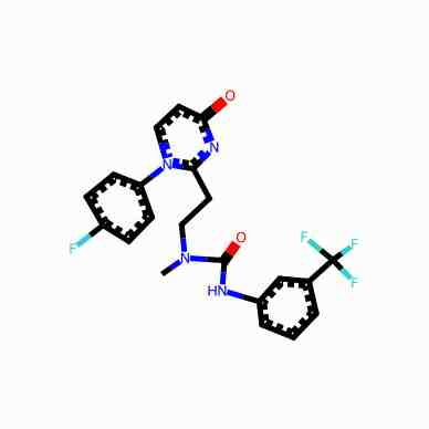 CN(CCc1nc(=O)ccn1-c1ccc(F)cc1)C(=O)Nc1cccc(C(F)(F)F)c1